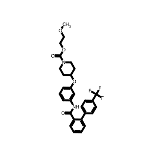 COCCOC(=O)N1CCC(Oc2cccc(NC(=O)c3ccccc3-c3ccc(C(F)(F)F)cc3)c2)CC1